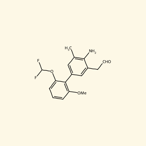 COc1cccc(OC(F)F)c1-c1cc(C)c(N)c(CC=O)c1